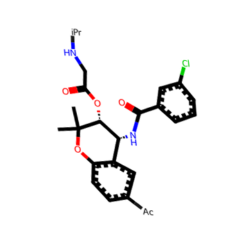 CC(=O)c1ccc2c(c1)[C@@H](NC(=O)c1cccc(Cl)c1)[C@@H](OC(=O)CNC(C)C)C(C)(C)O2